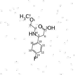 COCCNC(CC(=O)O)c1ccc(F)cc1